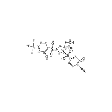 N#Cc1ccc(S(=O)(=O)[C@H]2CN(S(=O)(=O)c3ccc(C(F)(F)F)cc3Cl)C[C@@]2(O)CO)cc1Cl